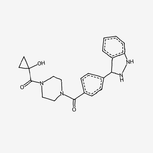 O=C(c1ccc(C2NNc3ccccc32)cc1)N1CCN(C(=O)C2(O)CC2)CC1